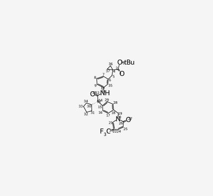 CC(C)(C)OC(=O)C1(Cc2cccc(NC(=O)[C@H](c3ccc(Cn4cc(C(F)(F)F)ccc4=O)cc3)C3CCCC3)c2)CC1